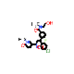 CN(CCO)C(=O)c1cccc(C(C/C(=N\O)c2ccc(=O)n(C)c2)c2ccc(Cl)cc2F)c1